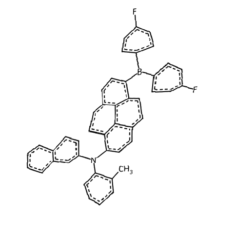 Cc1ccccc1N(c1ccc2ccccc2c1)c1ccc2ccc3c(B(c4ccc(F)cc4)c4ccc(F)cc4)ccc4ccc1c2c43